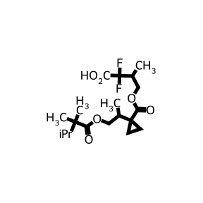 CC(C)C(C)(C)C(=O)OCC(C)C1(C(=O)OCC(C)C(F)(F)C(=O)O)CC1